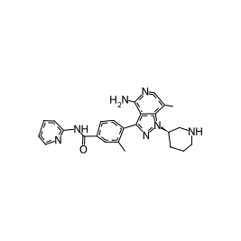 Cc1cc(C(=O)Nc2ccccn2)ccc1-c1nn([C@@H]2CCCNC2)c2c(C)cnc(N)c12